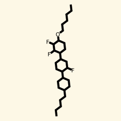 CCCCCCOC1CCC(C2CCC(C3CCC(CCCCC)CC3)C(F)C2)C(F)C1F